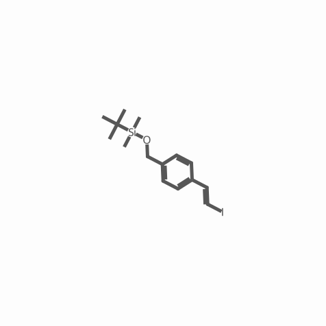 CC(C)(C)[Si](C)(C)OCc1ccc(C=CI)cc1